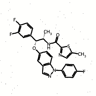 Cc1cnc(C(=O)N[C@@H](C)[C@H](Oc2ccc3c(cnn3-c3ccc(F)cc3)c2)c2ccc(F)c(F)c2)s1